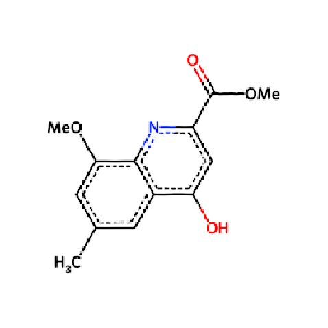 COC(=O)c1cc(O)c2cc(C)cc(OC)c2n1